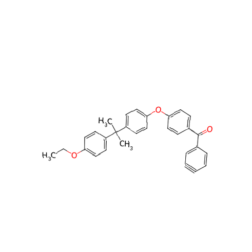 CCOc1ccc(C(C)(C)c2ccc(Oc3ccc(C(=O)c4cc#ccc4)cc3)cc2)cc1